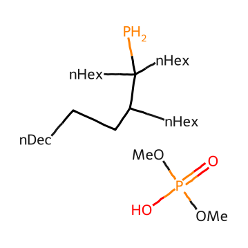 CCCCCCCCCCCCC(CCCCCC)C(P)(CCCCCC)CCCCCC.COP(=O)(O)OC